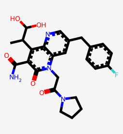 CC(c1c(C(N)=O)c(=O)n(CC(=O)N2CCCC2)c2cc(Cc3ccc(F)cc3)cnc12)C(O)O